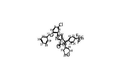 O=C1c2nn(-c3cc(Cl)ccc3OCc3ccccc3)cc2C(c2ccc(C(F)(F)F)cc2)N1C1CCOCC1